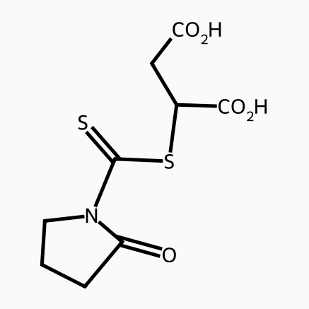 O=C(O)CC(SC(=S)N1CCCC1=O)C(=O)O